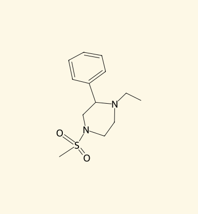 CCN1CCN(S(C)(=O)=O)CC1c1ccccc1